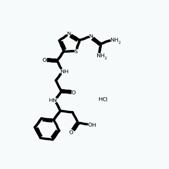 Cl.NC(N)=Nc1ncc(C(=O)NCC(=O)NC(CC(=O)O)c2ccccc2)s1